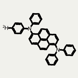 [2H]c1ccc(N(c2ccccc2)c2ccc3ccc4c(N(c5ccccc5)c5ccccc5)ccc5ccc2c3c54)cc1